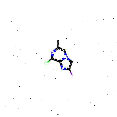 Cc1cn2cc(I)nc2c(Cl)n1